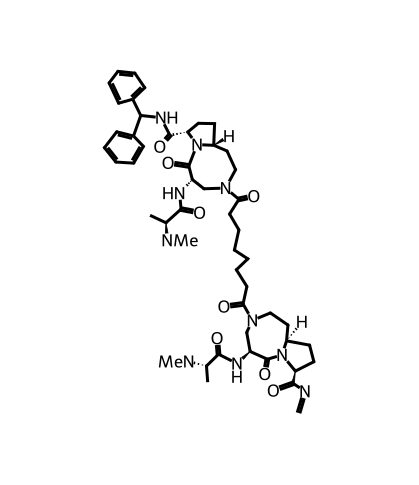 C=NC(=O)[C@@H]1CC[C@@H]2CCN(C(=O)CCCCCCC(=O)N3CC[C@H]4CC[C@@H](C(=O)NC(c5ccccc5)c5ccccc5)N4C(=O)[C@@H](NC(=O)[C@H](C)NC)C3)C[C@H](NC(=O)[C@H](C)NC)C(=O)N21